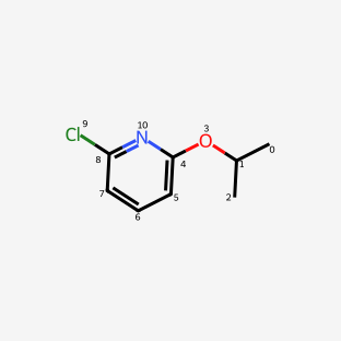 CC(C)Oc1cccc(Cl)n1